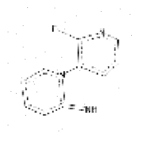 N=c1ccccn1-c1cccnc1F